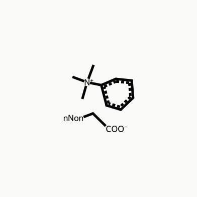 CCCCCCCCCCC(=O)[O-].C[N+](C)(C)c1ccccc1